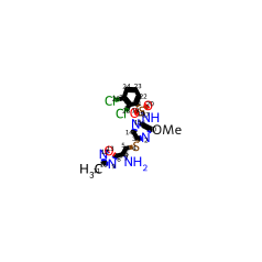 COc1nc(SC[C@H](N)c2nc(C)no2)cnc1NS(=O)(=O)c1cccc(Cl)c1Cl